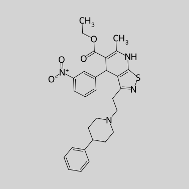 CCOC(=O)C1=C(C)Nc2snc(CCN3CCC(c4ccccc4)CC3)c2C1c1cccc([N+](=O)[O-])c1